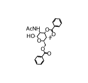 CC(=O)N[C@H]1[C@@H](OC(=O)c2ccccc2)[C@H](F)[C@@H](COC(=O)c2ccccc2)O[C@@H]1O